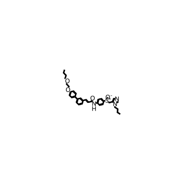 CCCCOCCOc1ccc(-c2cccc(/C=C/C(=O)Nc3ccc([S+]([O-])Cc4cncn4CCCC)cc3)c2)cc1